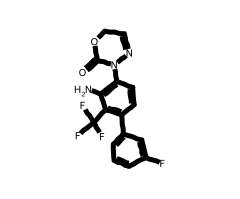 Nc1c(N2N=CCOC2=O)ccc(-c2cccc(F)c2)c1C(F)(F)F